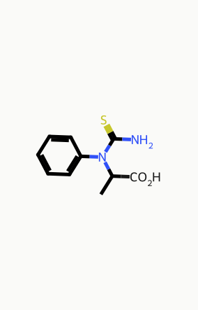 CC(C(=O)O)N(C(N)=S)c1ccccc1